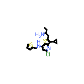 CC[C@H](N)Cc1sc2c(NCc3cccs3)cc(Cl)nc2c1C1CC1